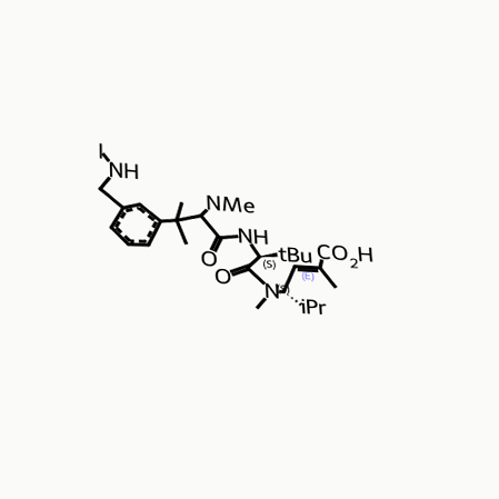 CNC(C(=O)N[C@H](C(=O)N(C)[C@H](/C=C(\C)C(=O)O)C(C)C)C(C)(C)C)C(C)(C)c1cccc(CNI)c1